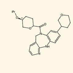 CC(C)O[C@H]1CCC(C(=O)N2Cc3cccnc3Nc3ccc(C4CCCOC4)cc32)OC1